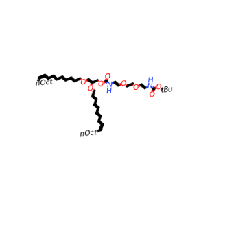 CCCCCCCC/C=C\CCCCCCCCOCC(COC(=O)NCCOCCOCCNC(=O)OC(C)(C)C)OCCCCCCCC/C=C\CCCCCCCC